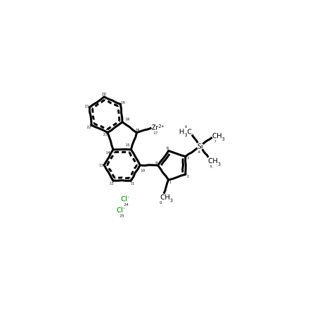 CC1C=C([Si](C)(C)C)C=C1c1cccc2c1[CH]([Zr+2])c1ccccc1-2.[Cl-].[Cl-]